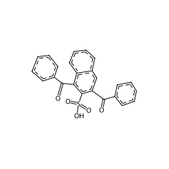 O=C(c1ccccc1)c1cc2ccccc2c(C(=O)c2ccccc2)c1S(=O)(=O)O